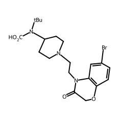 CC(C)(C)N(C(=O)O)C1CCN(CCN2C(=O)COc3ccc(Br)cc32)CC1